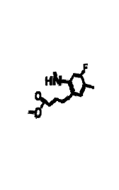 CNc1cc(F)c(C)cc1CCCC(=O)OC